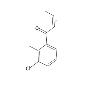 C/C=C\C(=O)c1cccc(Cl)c1C